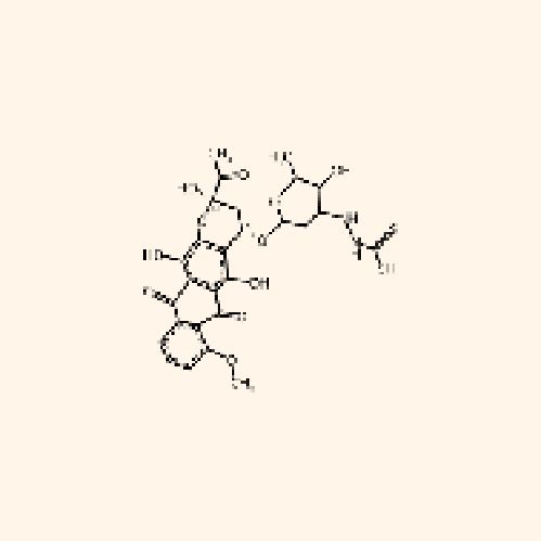 COc1cccc2c1C(=O)c1c(O)c3c(c(O)c1C2=O)C[C@@](O)(C(C)=O)C[C@@H]3OC1CC(NNC(=S)S)C(O)C(C)O1